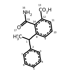 CC(c1ccccc1)c1cccc(C(=O)O)c1C(N)=O